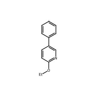 CCOc1ccc(-c2cc[c]cc2)cn1